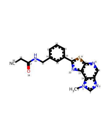 Cn1cnc2cnc3sc(-c4cccc(CNC(=O)CC#N)c4)nc3c21